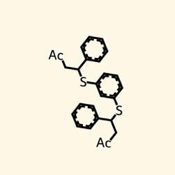 CC(=O)CC(Sc1cccc(SC(CC(C)=O)c2ccccc2)c1)c1ccccc1